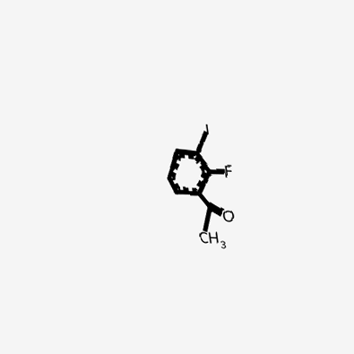 CC(=O)c1cccc(I)c1F